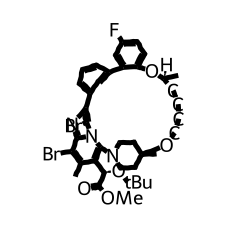 COC(=O)[C@@H](OC(C)(C)C)c1c(C)c(Br)c2nc3c(Br)n2c1N1CCC(C)(CC1)OCCCC[C@H](C)Oc1ccc(F)cc1-c1cccc-3c1